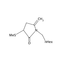 C=C1CC(SC)C(=O)N1CCCCCCC